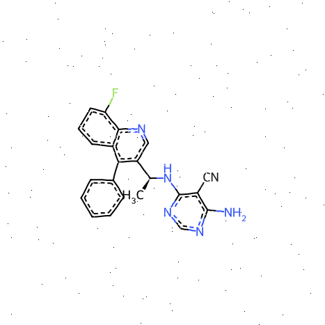 C[C@H](Nc1ncnc(N)c1C#N)c1cnc2c(F)cccc2c1-c1ccccc1